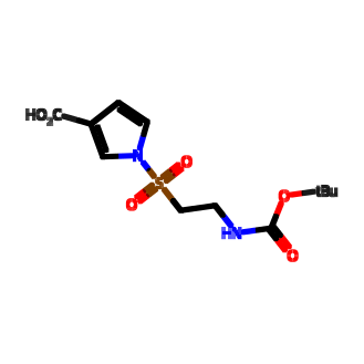 CC(C)(C)OC(=O)NCCS(=O)(=O)n1ccc(C(=O)O)c1